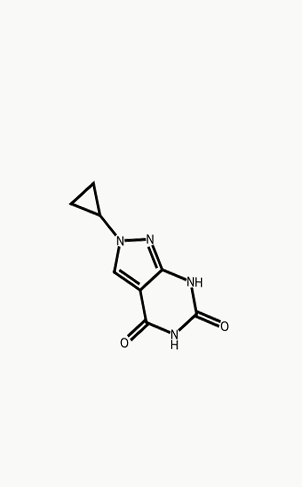 O=c1[nH]c(=O)c2cn(C3CC3)nc2[nH]1